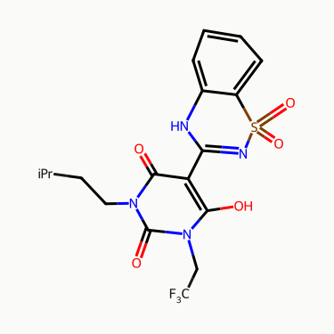 CC(C)CCn1c(=O)c(C2=NS(=O)(=O)c3ccccc3N2)c(O)n(CC(F)(F)F)c1=O